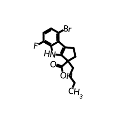 CCCCC1(C(=O)O)CCc2c1[nH]c1c(F)ccc(Br)c21